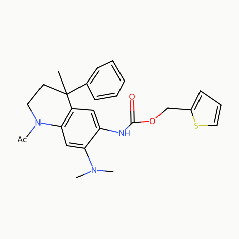 CC(=O)N1CCC(C)(c2ccccc2)c2cc(NC(=O)OCc3cccs3)c(N(C)C)cc21